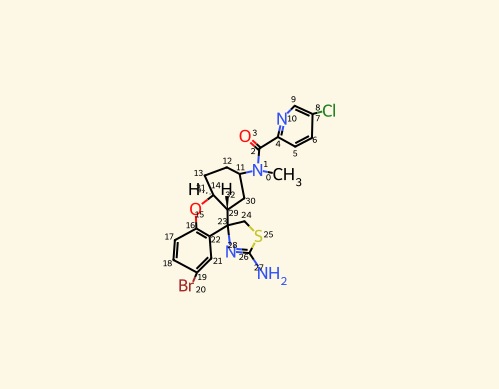 CN(C(=O)c1ccc(Cl)cn1)C1CC[C@@H]2Oc3ccc(Br)cc3C3(CSC(N)=N3)[C@H]2C1